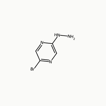 NNc1cnc(Br)cn1